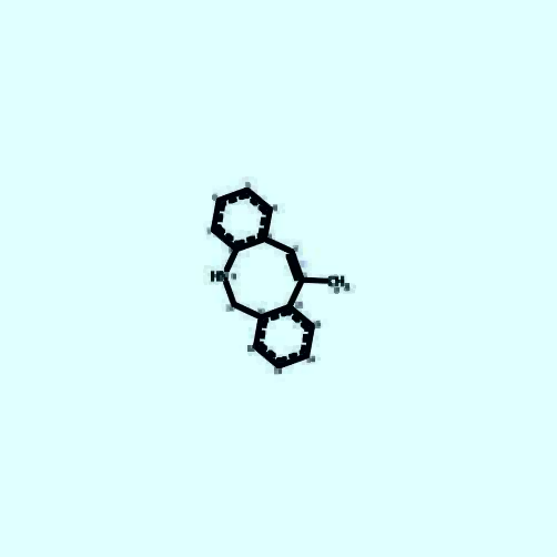 C/C1=C/c2ccccc2NCc2ccccc21